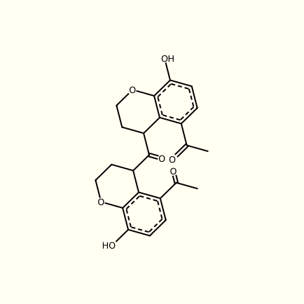 CC(=O)c1ccc(O)c2c1C(C(=O)C1CCOc3c(O)ccc(C(C)=O)c31)CCO2